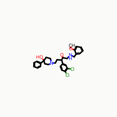 COc1ccccc1CNCC(=O)C(CCN1CCC(O)(c2ccccc2)CC1)c1ccc(Cl)c(Cl)c1